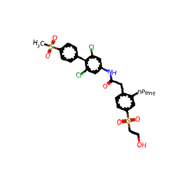 CCCCCc1cc(S(=O)(=O)CCO)ccc1CC(=O)Nc1cc(Cl)c(-c2ccc(S(C)(=O)=O)cc2)c(Cl)c1